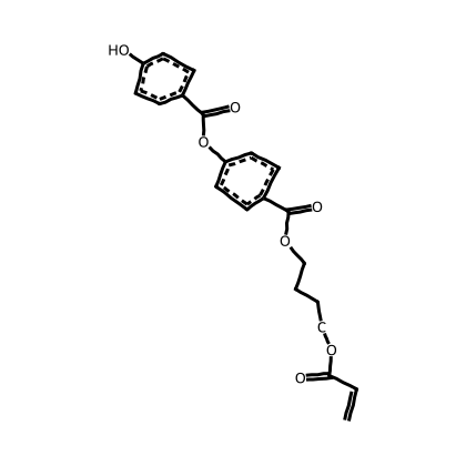 C=CC(=O)OCCCCOC(=O)c1ccc(OC(=O)c2ccc(O)cc2)cc1